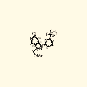 COCc1nn(-c2cccc(C(C)(F)F)n2)c2cc(Cl)ncc12